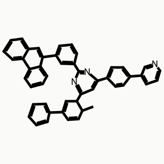 CC1C=CC(c2ccccc2)=CC1c1cc(-c2ccc(-c3cccnc3)cc2)nc(-c2cccc(-c3cc4ccccc4c4ccccc34)c2)n1